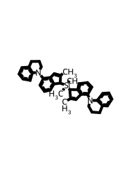 CC1=Cc2c(cccc2N2CCCc3ccccc32)C1[Si](C)(C)C1C(C)=Cc2c1cccc2N1CCCc2ccccc21